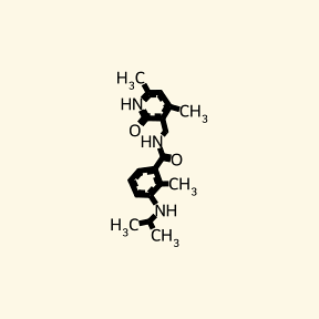 Cc1cc(C)c(CNC(=O)c2cccc(NC(C)C)c2C)c(=O)[nH]1